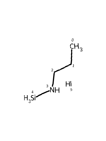 CCCN[SiH3].I